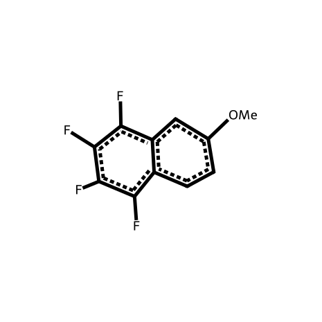 COc1ccc2c(F)c(F)c(F)c(F)c2c1